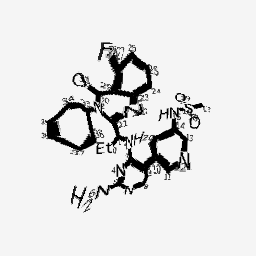 CCC(Nc1nc(N)ncc1-c1cncc(NS(C)(=O)=O)c1)c1nc2cccc(F)c2c(=O)n1-c1ccccc1